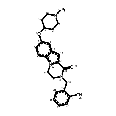 CC(C)N1CCC(Oc2ccc3c(c2)cc2n3CCN(Cc3ccccc3C#N)C2=O)CC1